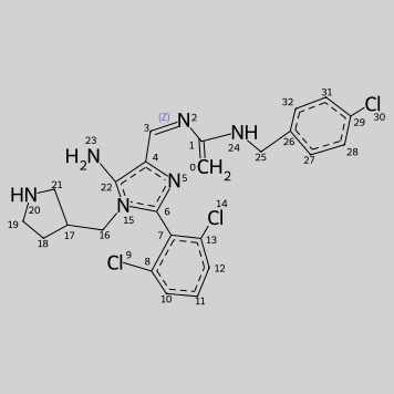 C=C(/N=C\c1nc(-c2c(Cl)cccc2Cl)n(CC2CCNC2)c1N)NCc1ccc(Cl)cc1